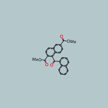 COC(=O)c1ccc2c(C(=O)c3cccc4ccccc34)c(C(=O)OC)ccc2c1